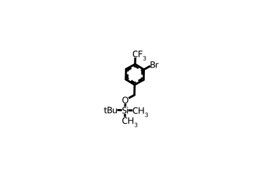 CC(C)(C)[Si](C)(C)OCc1ccc(C(F)(F)F)c(Br)c1